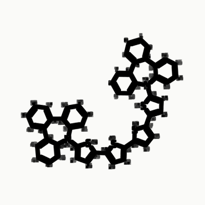 c1ccc2c(c1)-c1ccccc1N(c1ccc(-c3ccc(-c4ccc(-c5ccc(N6c7ccccc7-c7ccccc7-c7ccccc76)s5)s4)s3)s1)c1ccccc1-2